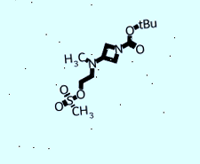 CN(CCOS(C)(=O)=O)C1CN(C(=O)OC(C)(C)C)C1